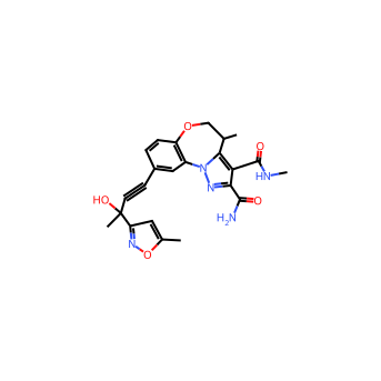 CNC(=O)c1c(C(N)=O)nn2c1C(C)COc1ccc(C#CC(C)(O)c3cc(C)on3)cc1-2